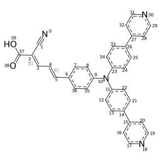 N#C/C(=C\C=C\c1ccc(N(c2ccc(-c3ccncc3)cc2)c2ccc(-c3ccncc3)cc2)cc1)C(=O)O